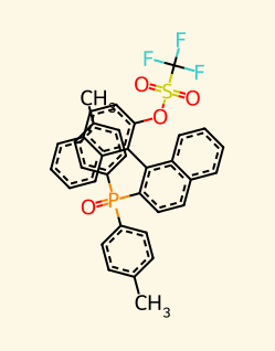 Cc1ccc(P(=O)(c2ccc(C)cc2)c2ccc3ccccc3c2-c2c(OS(=O)(=O)C(F)(F)F)ccc3ccccc23)cc1